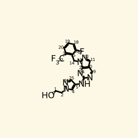 OCCn1cc(Nc2ncc3cnn(Cc4c(F)cccc4C(F)(F)F)c3n2)cn1